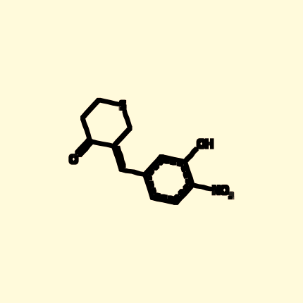 O=C1CCSC/C1=C\c1ccc([N+](=O)[O-])c(O)c1